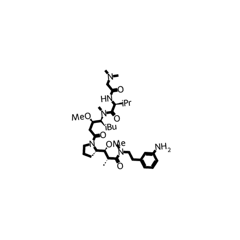 CC[C@H](C)[C@@H]([C@@H](CC(=O)N1CCC[C@H]1[C@H](OC)[C@@H](C)C(=O)N(C)CCc1cccc(N)c1)OC)N(C)C(=O)[C@@H](NC(=O)CN(C)C)C(C)C